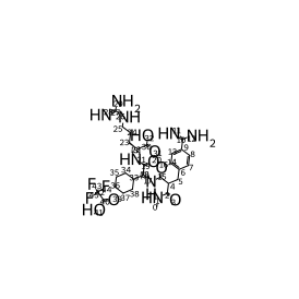 CNC(=O)C(Cc1ccc(C(=N)N)cc1)C(=O)N[C@H](C(=O)N[C@@H](CCCNC(=N)N)C(=O)O)C1CCCCC1.O=C(O)C(F)(F)F